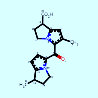 Cc1cc2n(c1C(=O)c1ccc3n1CCC3C)CCC2C(=O)O